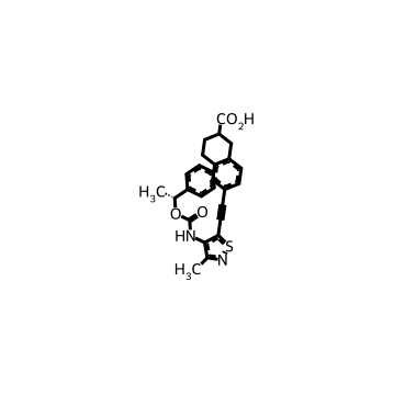 Cc1nsc(C#Cc2ccc3c(c2)CCC(C(=O)O)C3)c1NC(=O)O[C@H](C)c1ccccc1